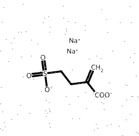 C=C(CCS(=O)(=O)[O-])C(=O)[O-].[Na+].[Na+]